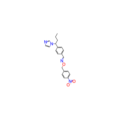 CCCC(c1ccc(C=NOCc2ccc([N+](=O)[O-])cc2)cc1)n1ccnc1